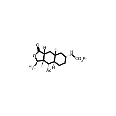 CCOC(=O)N[C@@H]1CC[C@@H]2[C@@H](C1)C[C@H]1C(=O)O[C@H](C)[C@H]1[C@H]2C(C)=O